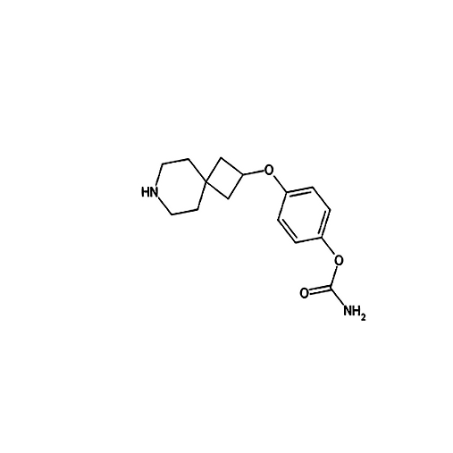 NC(=O)Oc1ccc(OC2CC3(CCNCC3)C2)cc1